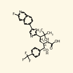 CC(C)(C)C(C[C@@H](NC(=O)O)[C@H](O)c1ccc(C(F)(F)F)cc1)c1ncc(-c2ccc3cnc(F)cc3c2)s1